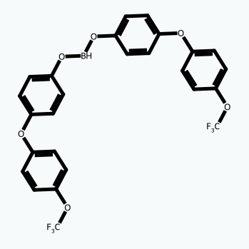 FC(F)(F)Oc1ccc(Oc2ccc(OBOc3ccc(Oc4ccc(OC(F)(F)F)cc4)cc3)cc2)cc1